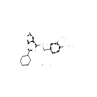 COc1ccc(CNc2nc(C3CCCCC3)nc3sc(Cl)cc23)cc1OC.O=C(O)O